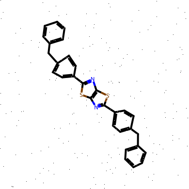 c1ccc(Cc2ccc(-c3nc4sc(-c5ccc(Cc6ccccc6)cc5)nc4s3)cc2)cc1